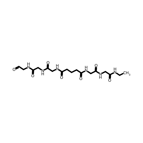 CCNC(=O)CNC(=O)CNC(=O)CCCC(=O)NCC(=O)NCC(=O)NCC=O